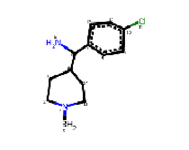 BN1CCC(C(N)c2ccc(Cl)cc2)CC1